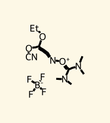 CCOC(=C=N[O+]=C(N(C)C)N(C)C)OC#N.F[B-](F)(F)F